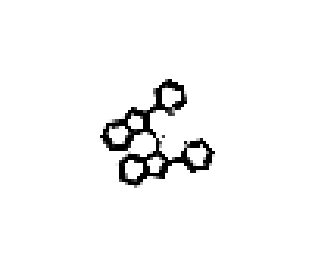 C1=C(c2ccccn2)[CH]([Zr][CH]2C(c3ccccn3)=Cc3ccccc32)c2ccccc21